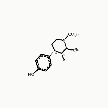 CC(C)(C)C1[C@@H](F)[C@H](c2ccc(O)cc2)CCN1C(=O)O